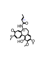 C/C=C/C(=O)N[C@H]1CCc2cc(OC)c(OC)c(O)c2-c2ccc(SC)c(=O)cc21